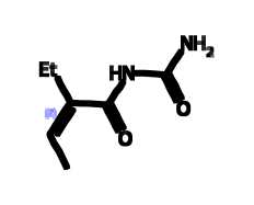 C/C=C(/CC)C(=O)NC(N)=O